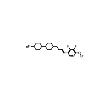 CCCC1CCC(C2CCC(CCC=Cc3ccc(OCC)c(F)c3F)CC2)CC1